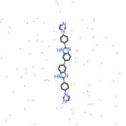 c1cn(-c2ccc(-c3nc4cc(-c5ccc6nc(-c7ccc(-n8ccnc8)cc7)[nH]c6c5)ccc4[nH]3)cc2)cn1